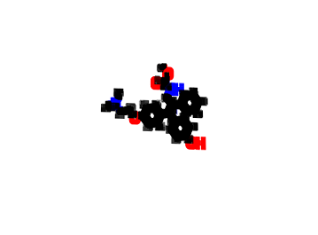 COC(=O)NC/C(=C(/c1ccc(O)cc1)c1ccc(OCCN(C)C)cc1)c1ccccc1